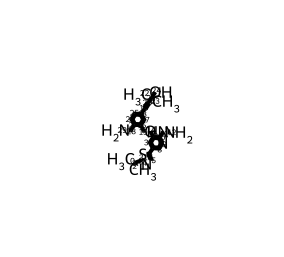 CC(C)c1ncc(-c2cnc(NN)c(OCc3cc(C#CC(C)(C)O)ccc3CN)c2)s1